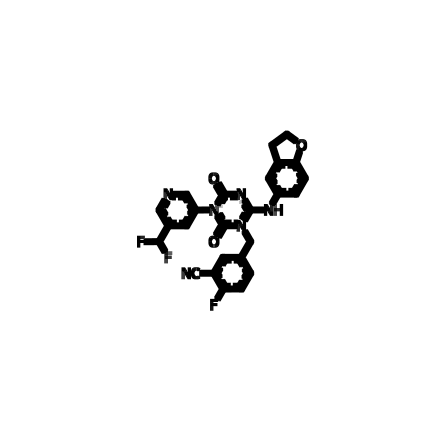 N#Cc1cc(Cn2c(Nc3ccc4c(c3)CCO4)nc(=O)n(-c3cncc(C(F)F)c3)c2=O)ccc1F